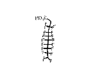 O=C(O)CC(F)(F)C(F)(F)C(F)(F)C(F)(F)C(F)(F)C(F)(F)C(F)(F)C(F)F